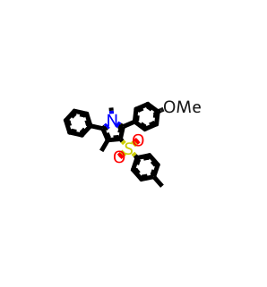 COc1ccc(-c2c(S(=O)(=O)c3ccc(C)cc3)c(C)c(-c3ccccc3)n2C)cc1